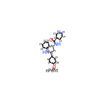 CCCCCOc1ccc(C(CCNC(=O)c2cccnc2)Nc2ccccc2)cc1